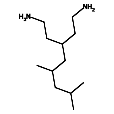 CC(C)CC(C)CC(CCN)CCN